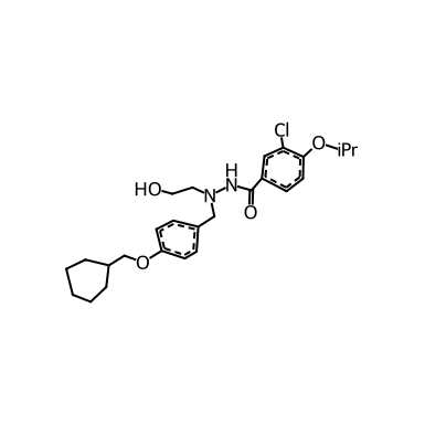 CC(C)Oc1ccc(C(=O)NN(CCO)Cc2ccc(OCC3CCCCC3)cc2)cc1Cl